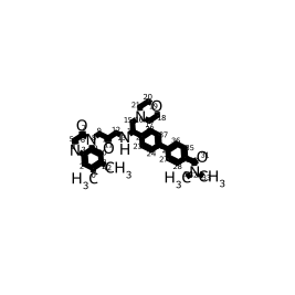 Cc1cc2ncc(=O)n(CC(=O)CNC(CN3CCOCC3)c3ccc(-c4ccc(C(=O)N(C)C)cc4)cc3)c2cc1C